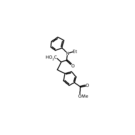 CCN(C(=O)C(Cc1ccc(C(=O)OC)cc1)C(=O)O)c1ccccc1